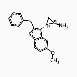 COc1ccc2sc(Cc3ccccc3)c([C@@H]3C[C@H]3N)c2c1